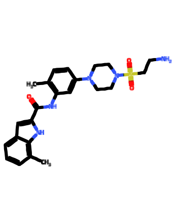 Cc1ccc(N2CCN(S(=O)(=O)CCN)CC2)cc1NC(=O)c1cc2cccc(C)c2[nH]1